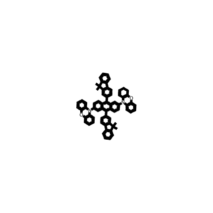 CC1(C)c2ccccc2-c2ccc(-c3c4ccc(N5c6ccccc6Oc6ccccc65)cc4c(-c4ccc5c(c4)C(C)(C)c4ccccc4-5)c4ccc(N5C6=C(CCC=C6)Oc6ccccc65)cc34)cc21